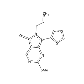 C=CCn1c(=O)c2cnc(SC)nc2n1-c1cccs1